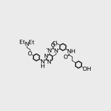 CCN(CC)CCOc1ccc(Nc2ncc3c(n2)N(C)C(=O)N(c2cc(NC(=O)CCc4ccc(O)cc4)ccc2Cl)C3)cc1